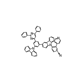 N#Cc1ccc(-n2c3ccccc3c3cc(-c4cc(-c5cc(-c6ccccc6)nc(-c6ccccc6)n5)cc(-n5c6ccccc6c6ccccc65)c4)ccc32)c(-c2ccncc2)c1